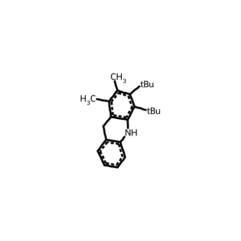 Cc1c(C)c(C(C)(C)C)c(C(C)(C)C)c2c1Cc1ccccc1N2